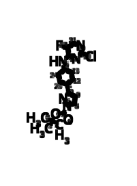 CC(C)(C)OC(=O)n1ccc(-c2ccc(Nc3nc(Cl)ncc3F)cc2)n1